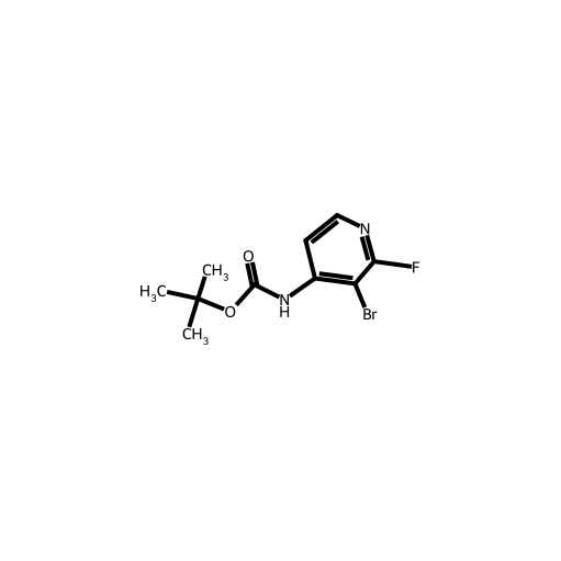 CC(C)(C)OC(=O)Nc1ccnc(F)c1Br